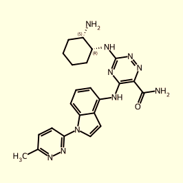 Cc1ccc(-n2ccc3c(Nc4nc(N[C@@H]5CCCC[C@@H]5N)nnc4C(N)=O)cccc32)nn1